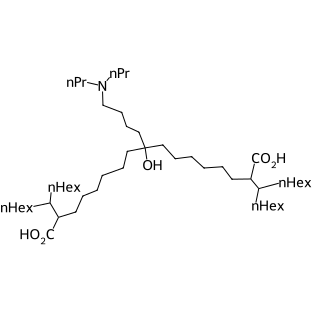 CCCCCCC(CCCCCC)C(CCCCCCC(O)(CCCCCCC(C(=O)O)C(CCCCCC)CCCCCC)CCCCN(CCC)CCC)C(=O)O